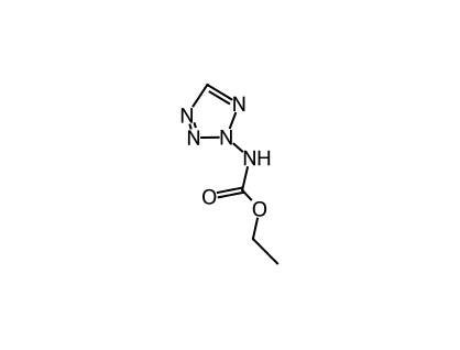 CCOC(=O)Nn1ncnn1